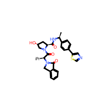 CC(C)[C@@H](C(=O)N1C[C@H](O)C[C@H]1C(=O)N[C@@H](C)c1ccc(-c2cncs2)cc1)N1Cc2ccccc2C1=O